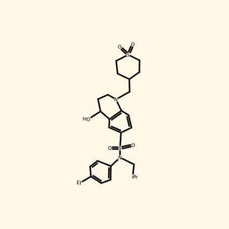 CCc1ccc(N(CC(C)C)S(=O)(=O)c2ccc3c(c2)C(O)CCN3CC2CCS(=O)(=O)CC2)cc1